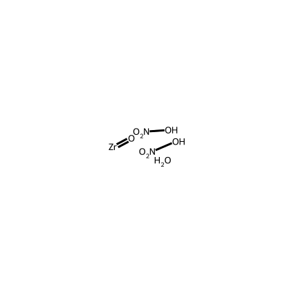 O.O=[N+]([O-])O.O=[N+]([O-])O.[O]=[Zr]